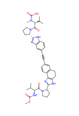 COC(=O)N[C@H](C(=O)N1CCCC1c1nc2c([nH]1)CCc1cc(C#Cc3ccc4[nH]c([C@@H]5CCCN5C(=O)[C@H](C(C)C)N(C)C(=O)O)nc4c3)ccc1-2)C(C)C